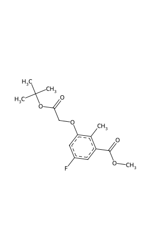 COC(=O)c1cc(F)cc(OCC(=O)OC(C)(C)C)c1C